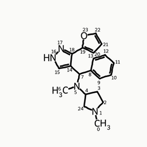 CN1CCC(N(C)C(c2ccccc2)c2c[nH]nc2-c2ccco2)C1